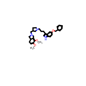 COC1=CCC2CN(CC3CCN(CCCc4c[nH]c5ccc(OCc6ccccc6)cc45)C3)CC2=C1OC